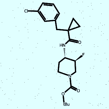 CC(C)(C)OC(=O)N1CC[C@H](NC(=O)C2(Cc3cccc(Cl)c3)CC2)[C@@H](F)C1